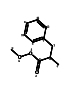 COOC(=O)C(C)Cc1ccccc1